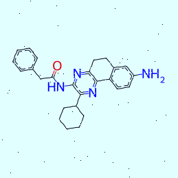 Nc1ccc2c(c1)CCc1nc(NC(=O)Cc3ccccc3)c(C3CCCCC3)nc1-2